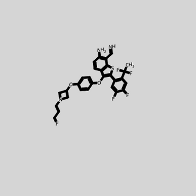 CC(F)(F)c1cc(F)c(F)cc1-c1sc2c(C=N)c(N)ccc2c1Oc1ccc(OC2CN(CCCF)C2)cc1